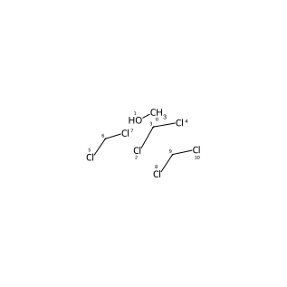 CO.ClCCl.ClCCl.ClCCl